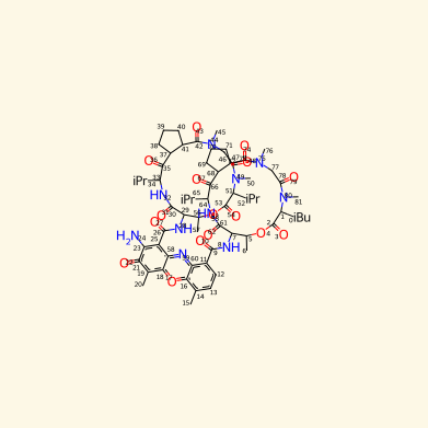 CCC(C)C1C(=O)OC(C)C(NC(=O)c2ccc(C)c3oc4c(C)c(=O)c(N)c(C(=O)NC5C(=O)NC(C(C)C)C(=O)C6CCCC6C(=O)N(C)CC(=O)N(C)C(C(C)C)C(=O)OC5C)c-4nc23)C(=O)NC(C(C)C)C(=O)C2CCCC2C(=O)N(C)CC(=O)N1C